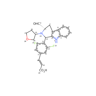 O=C[C@@H]1Cc2c([nH]c3ccccc23)C(c2c(F)cc(/C=C/C(=O)O)cc2F)N1C1CCOC1